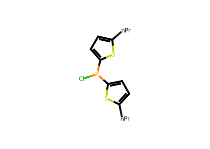 CCCc1ccc(P(Cl)c2ccc(CCC)s2)s1